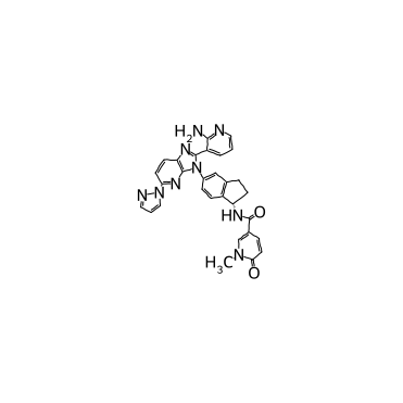 Cn1cc(C(=O)N[C@H]2CCc3cc(-n4c(-c5cccnc5N)nc5ccc(-n6cccn6)nc54)ccc32)ccc1=O